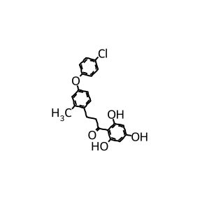 Cc1cc(Oc2ccc(Cl)cc2)ccc1CCC(=O)c1c(O)cc(O)cc1O